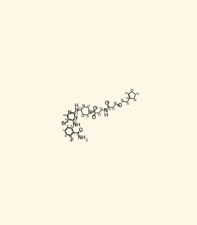 NC(=O)c1c(F)cccc1Nc1nc(NC2CCN(S(=O)(=O)CCNC(=O)CCOCCC3=CCCC3)CC2)ncc1Br